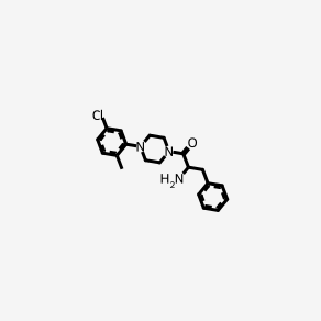 Cc1ccc(Cl)cc1N1CCN(C(=O)C(N)Cc2ccccc2)CC1